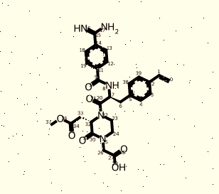 C=Cc1ccc(C[C@H](NC(=O)c2ccc(C(=N)N)cc2)C(=O)N2CCN(CC(=O)O)C(=O)[C@@H]2CC(=O)OC)cc1